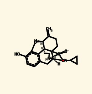 C=C1CCC2(OCCC)[C@H]3Cc4ccc(O)c5c4[C@@]2(CC[N@+]3([O-])CC2CC2)[C@H]1O5